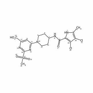 Cc1[nH]c(C(=O)NC2CCN(c3cc(C(=O)O)nc(S(C)(=O)=O)n3)CC2)c(Cl)c1Cl